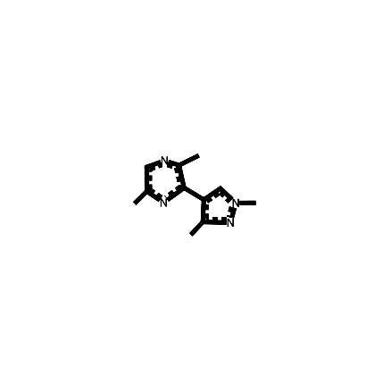 Cc1cnc(C)c(-c2cn(C)nc2C)n1